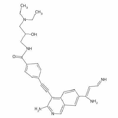 CCN(CC)CC(O)CNC(=O)c1ccc(C#Cc2c(N)ncc3cc(/C(N)=C/C=N)ccc23)cc1